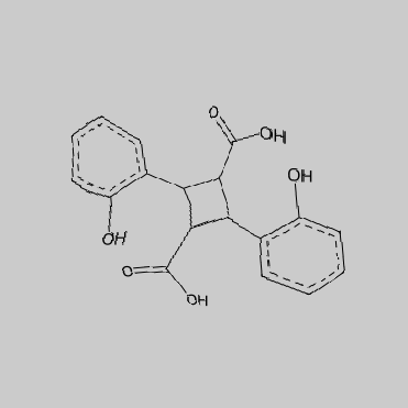 O=C(O)C1C(c2ccccc2O)C(C(=O)O)C1c1ccccc1O